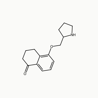 O=C1CCCc2c(OCC3CCCN3)cccc21